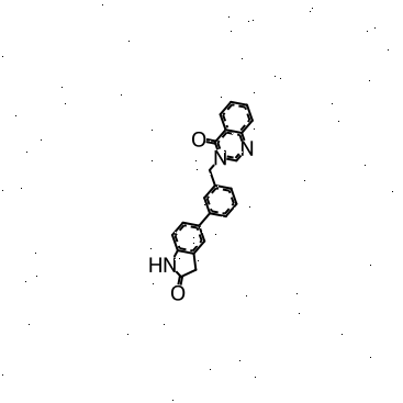 O=C1Cc2cc(-c3cccc(Cn4cnc5ccccc5c4=O)c3)ccc2N1